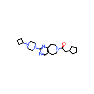 O=C(CC1CCCC1)N1CCc2cnc(N3CCN(C4CCC4)CC3)nc2CC1